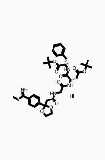 CSC(=N)c1ccc(C2(CC(=O)NCC(=O)N[C@@H](CC(=O)OC(C)(C)C)C(=O)N[C@@H](Cc3ccccc3)C(=O)OC(C)(C)C)OCCO2)cc1.I